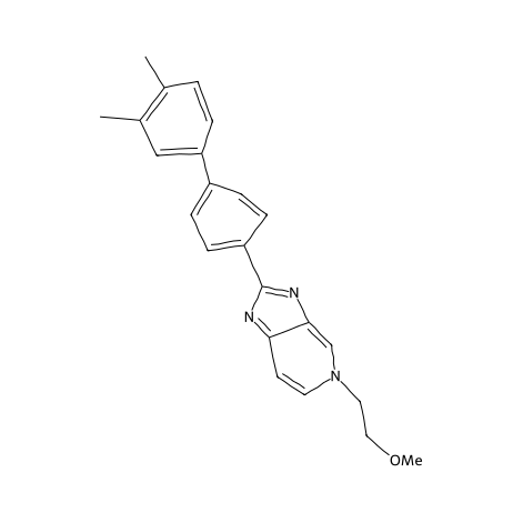 COCCn1ccc2nc(-c3ccc(-c4ccc(C)c(C)c4)cc3)nc-2c1